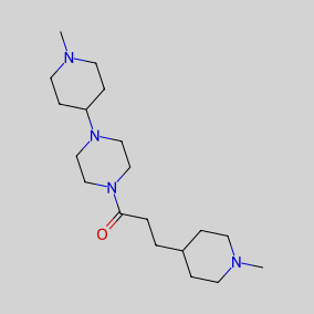 CN1CCC(CCC(=O)N2CCN(C3CCN(C)CC3)CC2)CC1